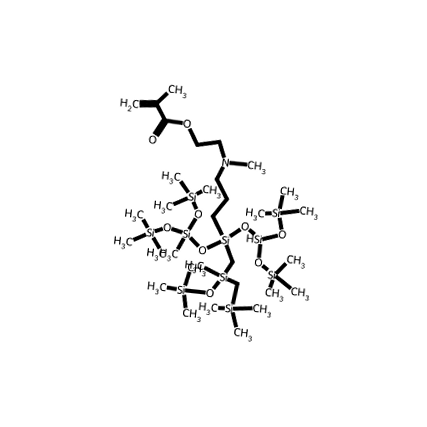 C=C(C)C(=O)OCCN(C)CCC[Si](C[Si](C)(C[Si](C)(C)C)O[Si](C)(C)C)(O[SiH](O[Si](C)(C)C)O[Si](C)(C)C)O[Si](C)(O[Si](C)(C)C)O[Si](C)(C)C